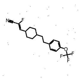 N#CC(F)=CC1CCC(CCc2ccc(OC(F)(F)F)cc2)CC1